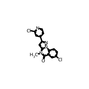 Cn1c(=O)c2cc(Cl)ccc2n2nc(-c3ccnc(Cl)c3)cc12